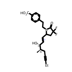 CCC#CC[C@@H](C)[C@H](O)/C=C/C1CC(F)(F)C(=O)N1CCc1ccc(C(=O)O)cc1